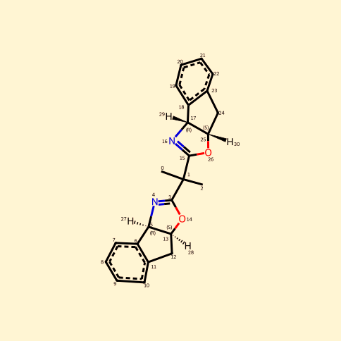 CC(C)(C1=N[C@@H]2c3ccccc3C[C@@H]2O1)C1=N[C@@H]2c3ccccc3C[C@@H]2O1